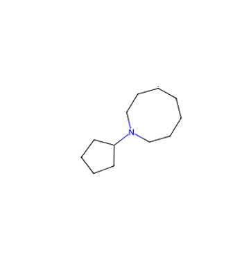 [CH]1CCCCN(C2CCCC2)CC1